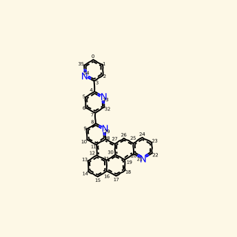 c1ccc(-c2ccc(-c3ccc4c5cccc6ccc7c8ncccc8cc(c4n3)c7c65)cn2)nc1